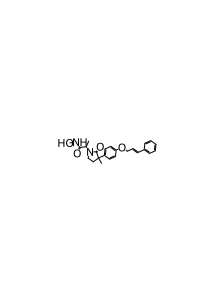 CC(C(=O)NO)N1CCC(C)(c2ccc(OC/C=C/c3ccccc3)cc2)C1=O